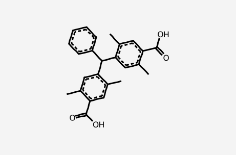 Cc1cc(C(c2ccccc2)c2cc(C)c(C(=O)O)cc2C)c(C)cc1C(=O)O